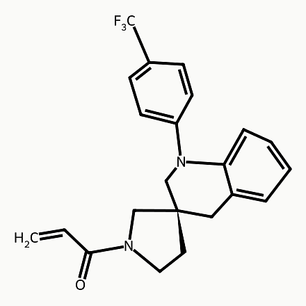 C=CC(=O)N1CC[C@@]2(Cc3ccccc3N(c3ccc(C(F)(F)F)cc3)C2)C1